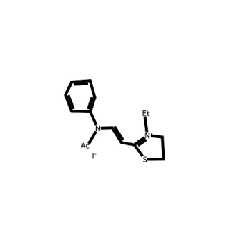 CC[N+]1=C(C=CN(C(C)=O)c2ccccc2)SCC1.[I-]